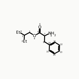 CCC(CC)COC(=O)C(N)Cc1ccccc1